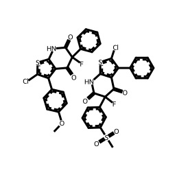 COc1ccc(-c2c(Cl)sc3c2C(=O)C(F)(c2ccccc2)C(=O)N3)cc1.CS(=O)(=O)c1cccc(C2(F)C(=O)Nc3sc(Cl)c(-c4ccccc4)c3C2=O)c1